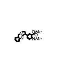 CNc1ccc(C2CCN3Cc4ccccc4N=C23)cc1C(=O)OC